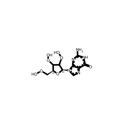 Nc1nc2c(ncn2[C@H]2O[C@@H](COO)C(OO)C2OO)c(=O)[nH]1